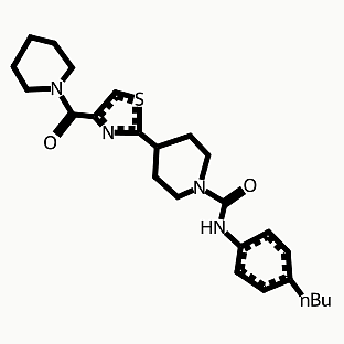 CCCCc1ccc(NC(=O)N2CCC(c3nc(C(=O)N4CCCCC4)cs3)CC2)cc1